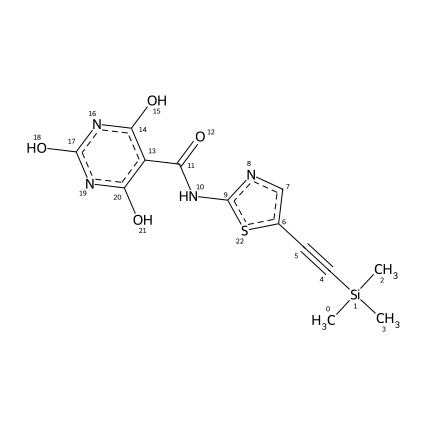 C[Si](C)(C)C#Cc1cnc(NC(=O)c2c(O)nc(O)nc2O)s1